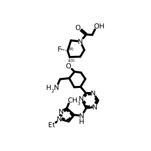 CCn1cc(Nc2ncnc(C3CCC(O[C@H]4CCN(C(=O)CO)C[C@H]4F)C(CN)C3)n2)c(C)n1